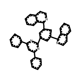 c1ccc(-c2cc(-c3ccccc3)nc(-c3cc(-c4nccc5ccccc45)cc(-c4nccc5ccccc45)c3)n2)cc1